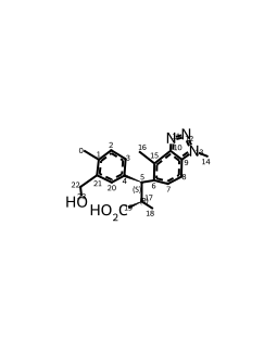 Cc1ccc([C@@H](c2ccc3c(nnn3C)c2C)[C@@H](C)C(=O)O)cc1CO